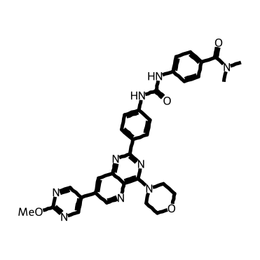 COc1ncc(-c2cnc3c(N4CCOCC4)nc(-c4ccc(NC(=O)Nc5ccc(C(=O)N(C)C)cc5)cc4)nc3c2)cn1